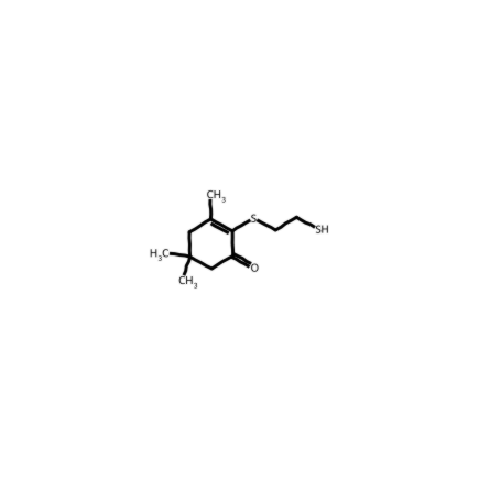 CC1=C(SCCS)C(=O)CC(C)(C)C1